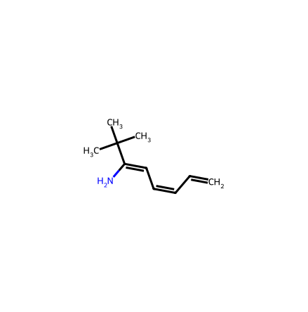 C=C/C=C\C=C(/N)C(C)(C)C